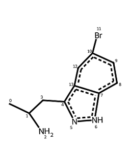 CC(N)Cc1n[nH]c2ccc(Br)cc12